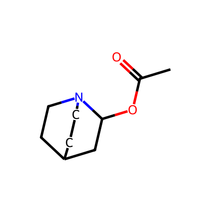 CC(=O)OC1CC2CCN1CC2